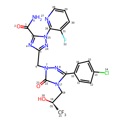 NC(=O)c1nc(Cn2nc(-c3ccc(Cl)cc3)n(C[C@H](O)C(F)(F)F)c2=O)nn1-c1ncccc1F